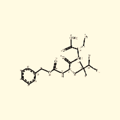 COC(=O)[C@H](CC(C)C)NC(=O)[C@H](CC(C)(C)C(F)F)NC(=O)OCc1ccccc1